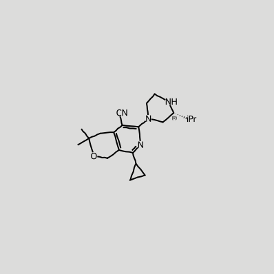 CC(C)[C@@H]1CN(c2nc(C3CC3)c3c(c2C#N)CC(C)(C)OC3)CCN1